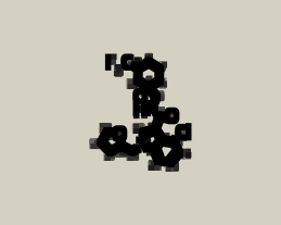 O=C(NCC1(O)CCCC(C(F)(F)F)C1)c1cn(CC2CCCO2)c2cccc(Cl)c12